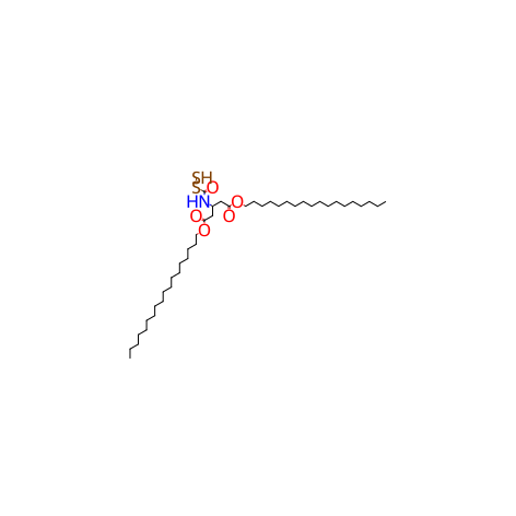 CCCCCCCCCCCCCCCCCCOC(=O)CC(CC(=O)OCCCCCCCCCCCCCCCCCC)NC(=O)SS